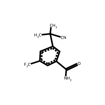 CC(C)(C#N)c1cc(C(N)=O)cc(C(F)(F)F)c1